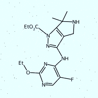 CCOC(=O)n1nc(Nc2nc(OCC)ncc2F)c2c1C(C)(C)NC2